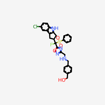 O=S(=O)(c1ccccc1)C(F)(c1nc(CNCc2ccc(CO)cc2)no1)C1Cc2[nH]c3ccc(Cl)cc3c2C1